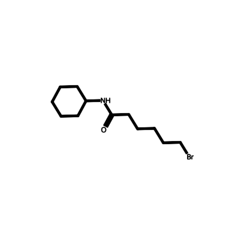 O=C(CCCCCBr)NC1CCCCC1